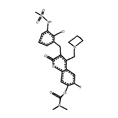 CN(C)C(=O)Oc1cc2oc(=O)c(Cc3cccc(NS(C)(=O)=O)c3Cl)c(CN3CCC3)c2cc1F